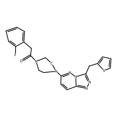 O=C(Cc1ccccc1F)N1CCN(c2ccc3nnc(Cc4cccs4)n3n2)CC1